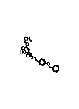 CCOC(=O)CC(C)(O)C=CCCc1ccc(OCc2ccccc2)cc1